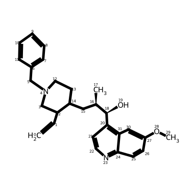 C=CC1CN(Cc2ccccc2)CCC1C[C@@H](C)[C@@H](O)c1ccnc2ccc(OC)cc12